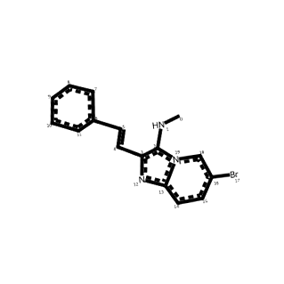 CNc1c(C=Cc2ccccc2)nc2ccc(Br)cn12